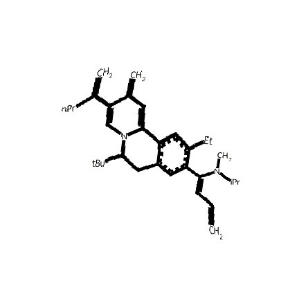 C=C/C=C(/c1cc2c(cc1CC)C1=CC(=C)C(C(=C)CCC)=CN1C(C(C)(C)C)C2)N(C)C(C)C